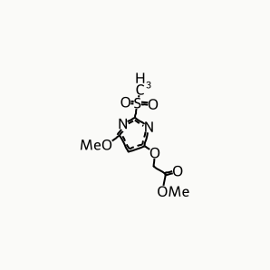 COC(=O)COc1cc(OC)nc(S(C)(=O)=O)n1